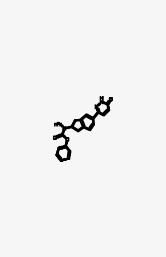 CCCN(C(=O)Oc1ccccc1)C1Cc2ccc(-c3ccc(=O)[nH]n3)cc2C1